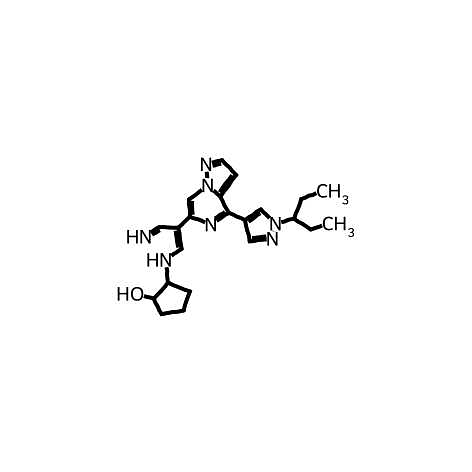 CCC(CC)n1cc(-c2nc(/C(C=N)=C/NC3CCCC3O)cn3nccc23)cn1